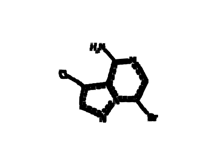 Nc1ncc(Br)n2ncc(Cl)c12